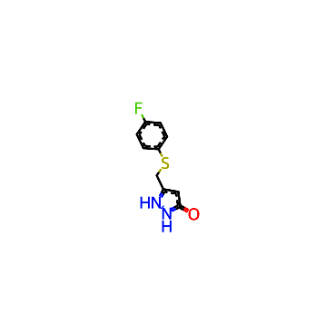 O=c1cc(CSc2ccc(F)cc2)[nH][nH]1